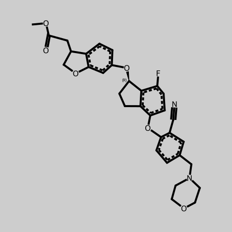 COC(=O)CC1COc2cc(O[C@@H]3CCc4c(Oc5ccc(CN6CCOCC6)cc5C#N)ccc(F)c43)ccc21